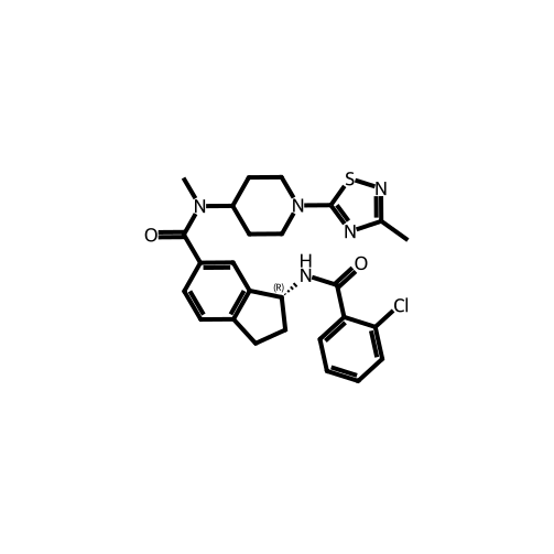 Cc1nsc(N2CCC(N(C)C(=O)c3ccc4c(c3)[C@H](NC(=O)c3ccccc3Cl)CC4)CC2)n1